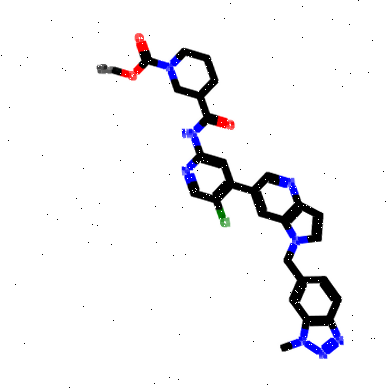 Cn1nnc2ccc(Cn3ccc4ncc(-c5cc(NC(=O)C6CCCN(C(=O)OC(C)(C)C)C6)ncc5Cl)cc43)cc21